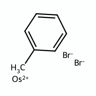 Cc1ccccc1.[Br-].[Br-].[Os+2]